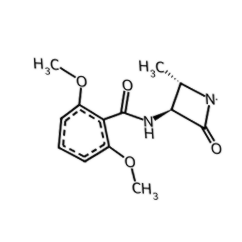 COc1cccc(OC)c1C(=O)N[C@@H]1C(=O)[N][C@H]1C